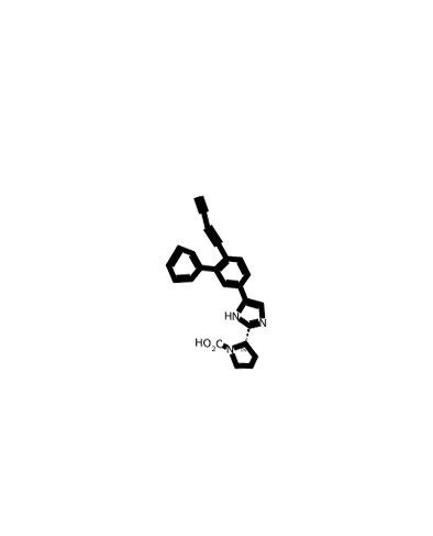 C#CC#Cc1ccc(-c2cnc([C@@H]3CCCN3C(=O)O)[nH]2)cc1-c1ccccc1